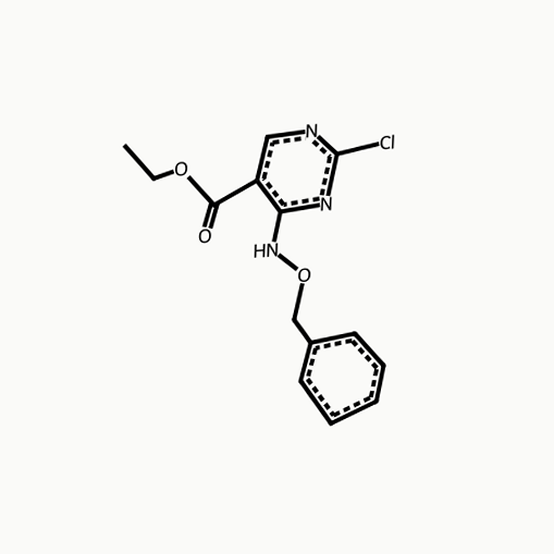 CCOC(=O)c1cnc(Cl)nc1NOCc1ccccc1